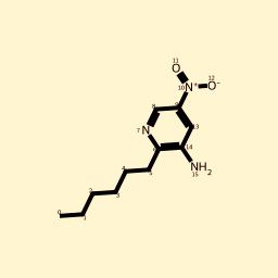 CCCCCCc1ncc([N+](=O)[O-])cc1N